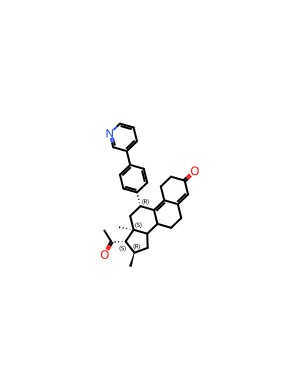 CC(=O)[C@H]1[C@H](C)CC2C3CCC4=CC(=O)CCC4=C3[C@@H](c3ccc(-c4cccnc4)cc3)C[C@@]21C